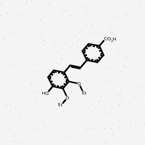 CCOc1c(O)ccc(C=Cc2ccc(C(=O)O)cc2)c1OCC